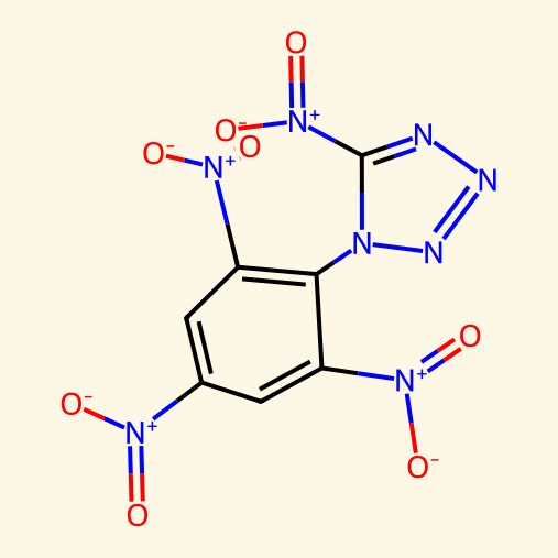 O=[N+]([O-])c1cc([N+](=O)[O-])c(-n2nnnc2[N+](=O)[O-])c([N+](=O)[O-])c1